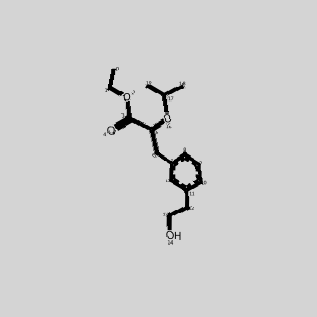 CCOC(=O)C(Cc1cccc(CCO)c1)OC(C)C